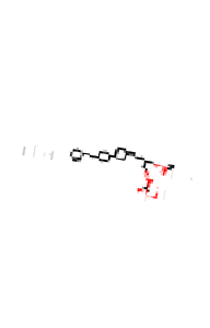 C=C(CC)C(=O)OCCC(CCCc1ccc(C2CCC(CCC3CCC(CCCCC)CC3)CC2)cc1)CCOC(=O)C(=C)CO